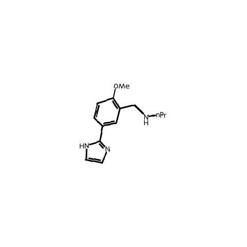 CCCNCc1cc(-c2ncc[nH]2)ccc1OC